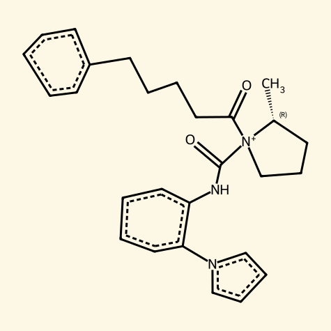 C[C@@H]1CCC[N+]1(C(=O)CCCCc1ccccc1)C(=O)Nc1ccccc1-n1cccc1